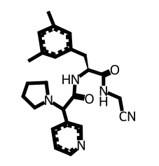 Cc1cc(C)cc(C[C@H](NC(=O)C(c2cccnc2)N2CCCC2)C(=O)NCC#N)c1